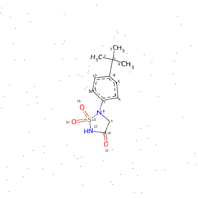 CC(C)(C)c1ccc(N2CC(=O)NS2(=O)=O)cc1